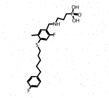 Cc1cc(CNCCCP(=O)(O)O)c(F)cc1SCCCCCc1ccc(F)cc1